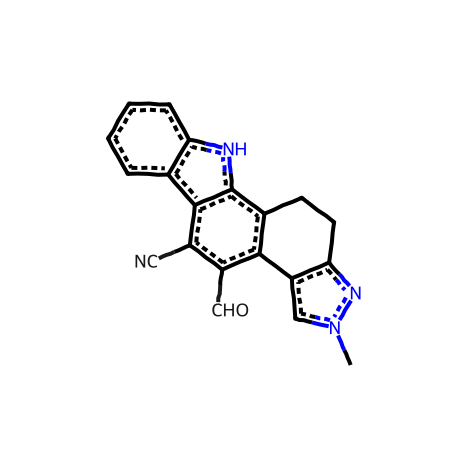 Cn1cc2c(n1)CCc1c-2c(C=O)c(C#N)c2c1[nH]c1ccccc12